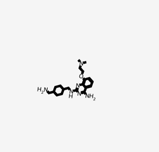 CN(C)CCOc1cccc2c(N)nc(NCC3CCC(CN)CC3)nc12